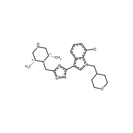 C[C@@H]1CNC[C@H](C)N1Cc1nc(-c2cn(CC3CCOCC3)c3c(Cl)cccc23)no1